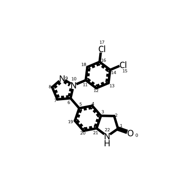 O=C1Cc2cc(-c3ccnn3-c3ccc(Cl)c(Cl)c3)ccc2N1